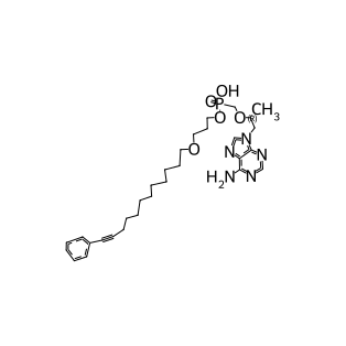 C[C@H](Cn1cnc2c(N)ncnc21)OCP(=O)(O)OCCCOCCCCCCCCCCC#Cc1ccccc1